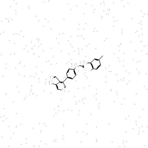 Cc1ccc(F)c(NC(=O)Nc2ccc(-c3cncc4[nH]ncc34)cc2)c1